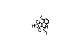 CCSc1nc2cccc(SC)c2c(Cl)c1C(=O)O